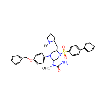 CCN1CCCC1CC1CN(c2ccc(OCc3ccccc3)cc2)CCN1S(=O)(=O)c1ccc(-c2ccccc2)cc1.NC(=O)NC=O